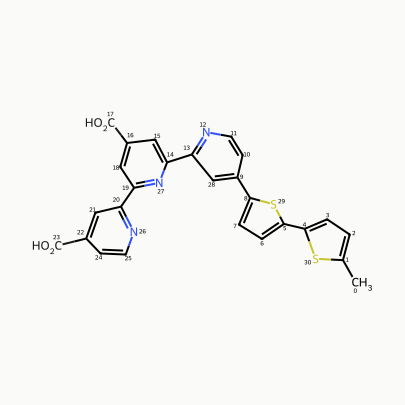 Cc1ccc(-c2ccc(-c3ccnc(-c4cc(C(=O)O)cc(-c5cc(C(=O)O)ccn5)n4)c3)s2)s1